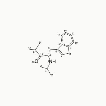 CC(C)N[C@@H](CC1=CCc2ccccc21)C(=O)C(C)C